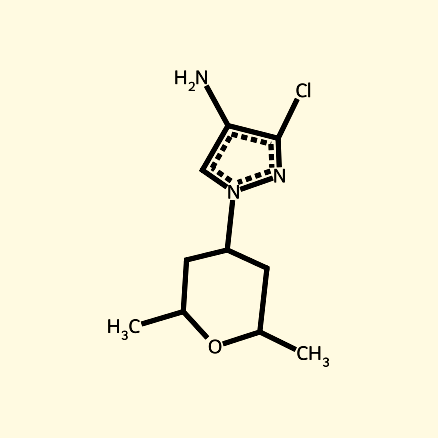 CC1CC(n2cc(N)c(Cl)n2)CC(C)O1